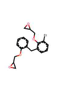 CCc1cccc(Cc2ccccc2OCC2CO2)c1OCC1CO1